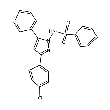 O=S(=O)(Nn1nc(-c2ccc(Cl)cc2)cc1-c1cccnc1)c1ccccc1